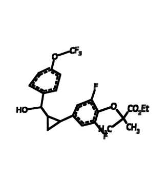 CCOC(=O)C(C)(C)Oc1c(F)cc(C2CC2C(O)c2ccc(OC(F)(F)F)cc2)cc1F